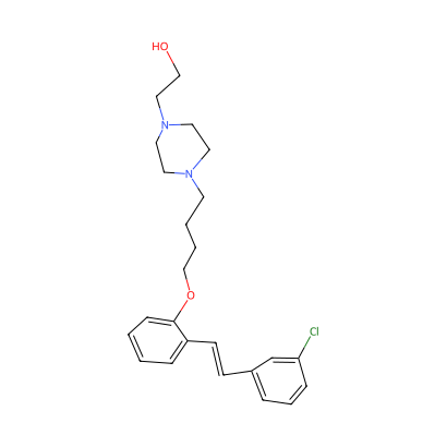 OCCN1CCN(CCCCOc2ccccc2C=Cc2cccc(Cl)c2)CC1